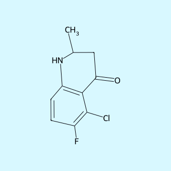 CC1CC(=O)c2c(ccc(F)c2Cl)N1